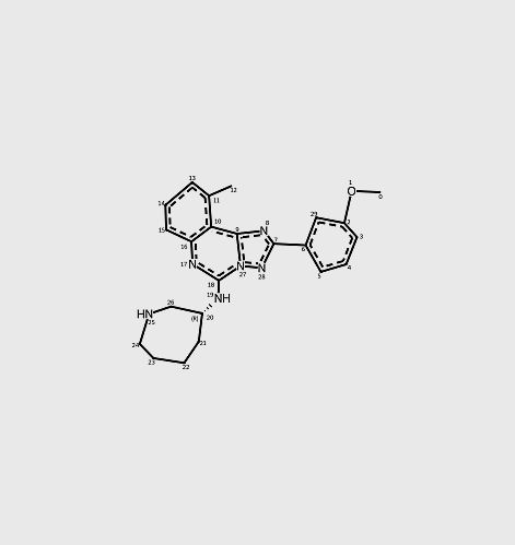 COc1cccc(-c2nc3c4c(C)cccc4nc(N[C@@H]4CCCCNC4)n3n2)c1